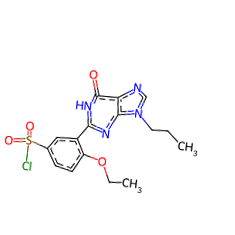 CCCn1cnc2c(=O)[nH]c(-c3cc(S(=O)(=O)Cl)ccc3OCC)nc21